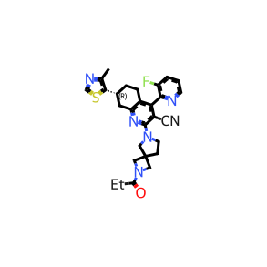 CCC(=O)N1CC2(CCN(c3nc4c(c(-c5ncccc5F)c3C#N)CC[C@@H](c3scnc3C)C4)C2)C1